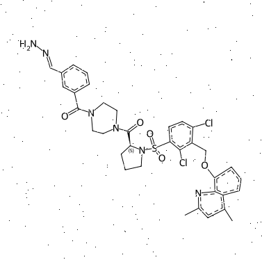 Cc1cc(C)c2cccc(OCc3c(Cl)ccc(S(=O)(=O)N4CCC[C@H]4C(=O)N4CCN(C(=O)c5cccc(C=NN)c5)CC4)c3Cl)c2n1